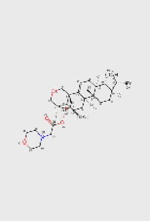 CC(=O)O[C@@H]1C[C@]23COC[C@@](C)([C@@H]2CC[C@H]2C3=CC[C@@]3(C)[C@H](C(=O)O)[C@@](C)([C@H](C)C(C)C)CC[C@]23C)[C@H]1OC(=O)CN1CCOCC1